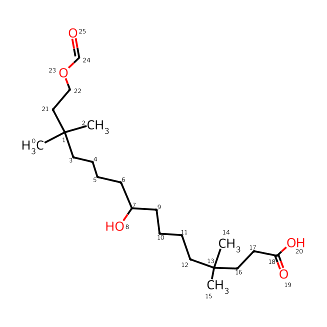 CC(C)(CCCCC(O)CCCCC(C)(C)CCC(=O)O)CCOC=O